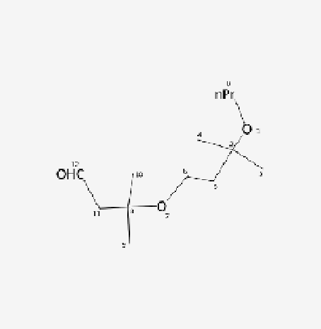 CCCOC(C)(C)CCOC(C)(C)CC=O